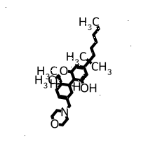 CCCCCCC(C)(C)C1=CC2OC(C)(C)[C@H]3CC=C(CN4CCOCC4)C[C@@H]3C2C(O)=C1